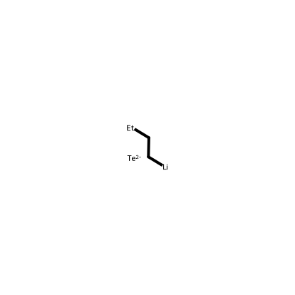 [Li][CH2]CCC.[Te-2]